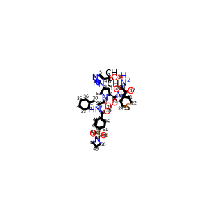 CC(C)(O)c1cnnn1[C@H]1C[C@@H](C(=O)NC2(C(=O)C(N)=O)CCSCC2)N(C(=O)[C@@H](CC2CCCCC2)NC(=O)c2ccc(S(=O)(=O)N3CCC3)cc2)C1